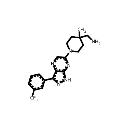 CC1(CN)CCN(c2cnc3c(-c4cccc(C(F)(F)F)c4)n[nH]c3n2)CC1